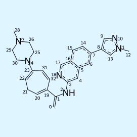 C=C(Nc1cc2cc(-c3cnn(C)c3)ccc2cn1)C1=CCC=C(N2CCN(C)CC2)C=C1